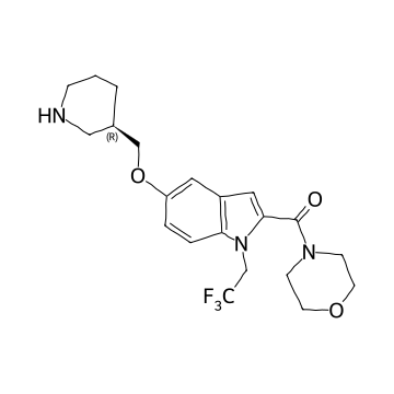 O=C(c1cc2cc(OC[C@@H]3CCCNC3)ccc2n1CC(F)(F)F)N1CCOCC1